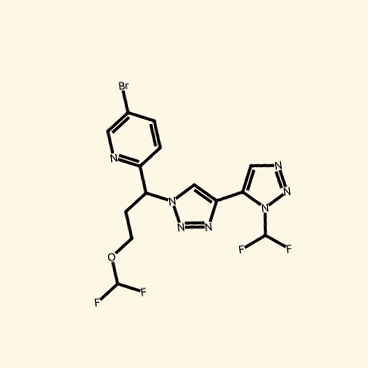 FC(F)OCCC(c1ccc(Br)cn1)n1cc(-c2cnnn2C(F)F)nn1